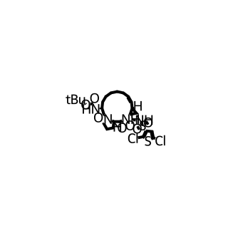 CC(C)(C)OC(=O)N[C@H]1CCCCC/C=C\[C@@H]2C[C@@]2(C(=O)NS(=O)(=O)c2cc(Cl)sc2Cl)NC(=O)[C@@H]2CCCN2C1=O